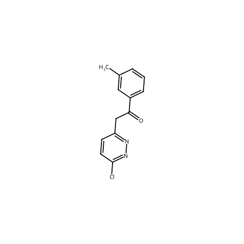 Cc1cccc(C(=O)Cc2ccc(Cl)nn2)c1